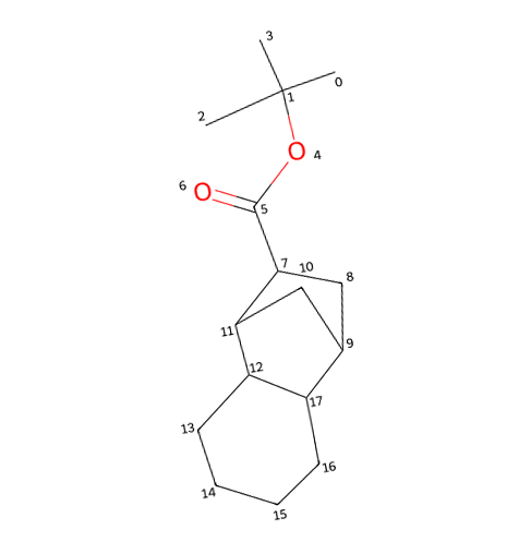 CC(C)(C)OC(=O)C1CC2CC1C1CCCCC21